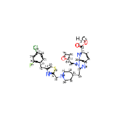 COC(=O)c1ccc2nc(CC3CCN(Cc4nc(Cc5ccc(Cl)cc5F)cs4)CC3)n(C[C@@H]3CCO3)c2n1